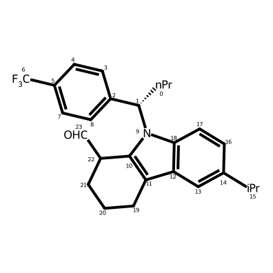 CCC[C@@H](c1ccc(C(F)(F)F)cc1)n1c2c(c3cc(C(C)C)ccc31)CCCC2C=O